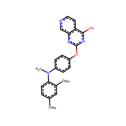 COc1ccc(N(C)c2ccc(Oc3nc(O)c4ccncc4n3)cc2)c(OC)c1